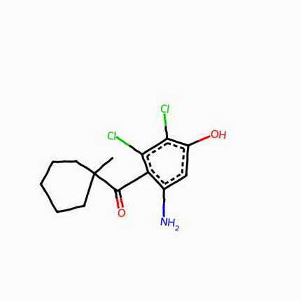 CC1(C(=O)c2c(N)cc(O)c(Cl)c2Cl)CCCCC1